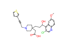 COc1ccc2ncc(Cl)c(C(O)CCC3(CC(=O)O)CCN(CC#Cc4ccsc4)CC3)c2c1